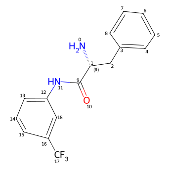 N[C@H](Cc1ccccc1)C(=O)Nc1cccc(C(F)(F)F)c1